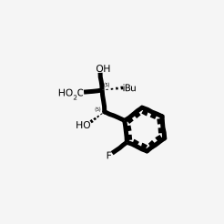 CCC(C)[C@@](O)(C(=O)O)[C@@H](O)c1ccccc1F